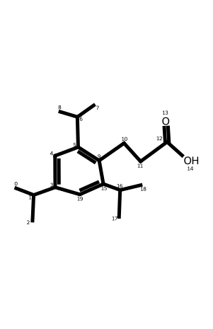 CC(C)c1cc(C(C)C)c(CCC(=O)O)c(C(C)C)c1